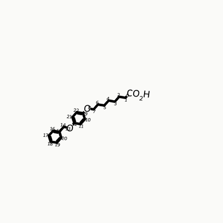 O=C(O)CCCCCCCOc1ccc(OCc2ccccc2)cc1